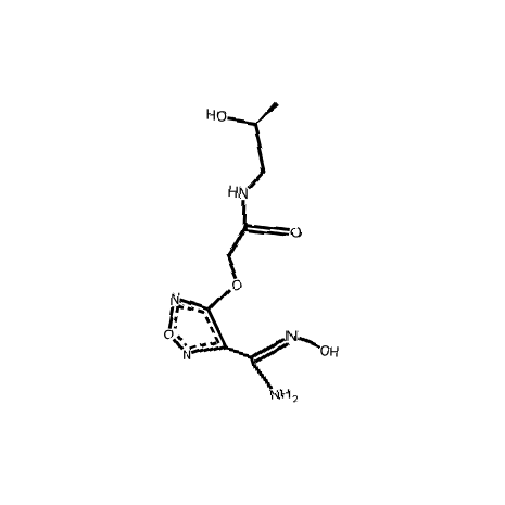 C[C@H](O)CNC(=O)COc1nonc1/C(N)=N/O